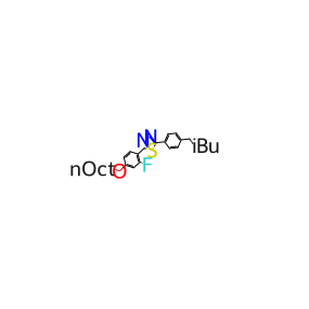 CCCCCCCCOc1ccc(-c2nnc(-c3ccc(CC(C)CC)cc3)s2)c(F)c1